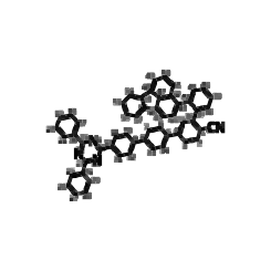 N#Cc1ccc(-c2ccc(-c3ccc(-c4nc(-c5ccccc5)nc(-c5ccccc5)n4)cc3)cc2)cc1-c1ccccc1-c1ccc2c3c(cccc13)-c1ccccc1-2